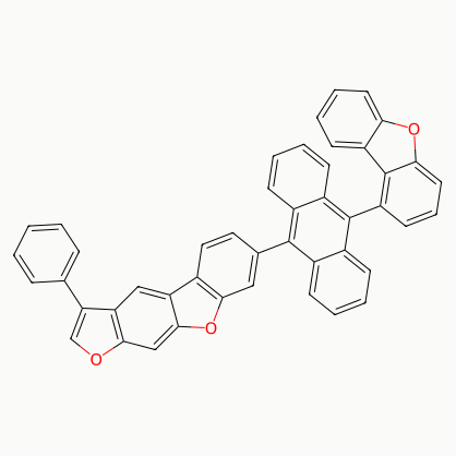 c1ccc(-c2coc3cc4oc5cc(-c6c7ccccc7c(-c7cccc8oc9ccccc9c78)c7ccccc67)ccc5c4cc23)cc1